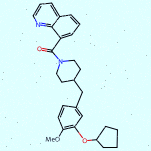 COc1ccc(CC2CCN(C(=O)c3cccc4cccnc34)CC2)cc1OC1CCCC1